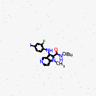 CC(C)CONC(=O)c1c(Nc2ccc(I)cc2F)c2cnccc2n1C